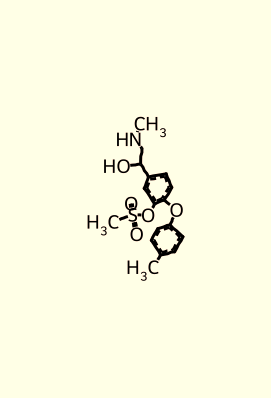 CNCC(O)c1ccc(Oc2ccc(C)cc2)c(OS(C)(=O)=O)c1